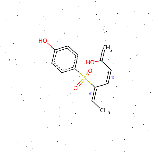 C=C(O)/C=C\C(=C/C)S(=O)(=O)c1ccc(O)cc1